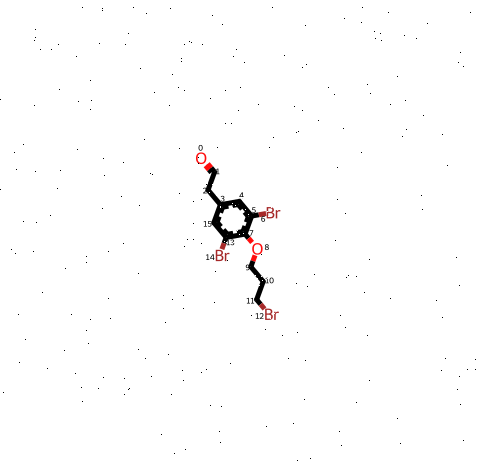 O=CCc1cc(Br)c(OCCCBr)c(Br)c1